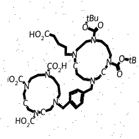 CC(C)(C)OC(=O)N1CCCN(C(=O)OC(C)(C)C)CCN(Cc2ccc(CN3CCCN(C(=O)O)CCN(C(=O)O)CCCN(C(=O)O)CC3)cc2)CCCN(CCCCC(=O)O)CC1